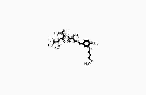 COCCCOc1cc(COC[C@H](N)[C@@H](O)C[C@H](C(=O)N[C@H](CO)C(C)C)C(C)C)ccc1C